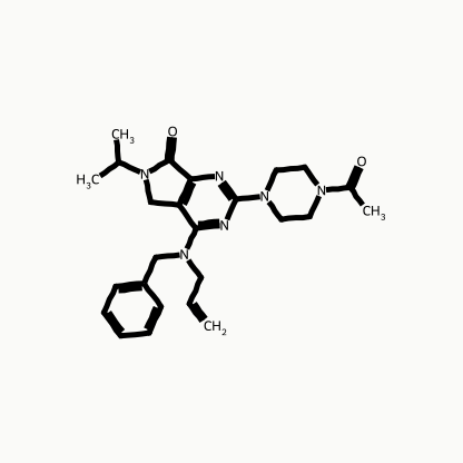 C=CCN(Cc1ccccc1)c1nc(N2CCN(C(C)=O)CC2)nc2c1CN(C(C)C)C2=O